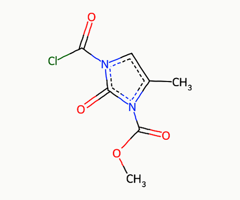 COC(=O)n1c(C)cn(C(=O)Cl)c1=O